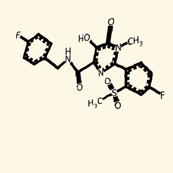 Cn1c(-c2ccc(F)cc2S(C)(=O)=O)nc(C(=O)NCc2ccc(F)cc2)c(O)c1=O